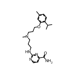 Cc1ccc(C(C)C)c(OCCCN(C)CCCNc2nccc(C(N)=O)n2)c1